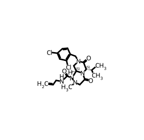 C=CCNC(=O)N1[C@H]2CN(Cc3ccc(Cl)cc3Cl)C(=O)[C@H](C(C)C)N2C(=O)CN1C